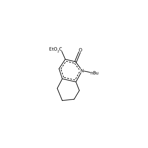 CCCCn1c2c(cc(C(=O)OCC)c1=O)CCCC2